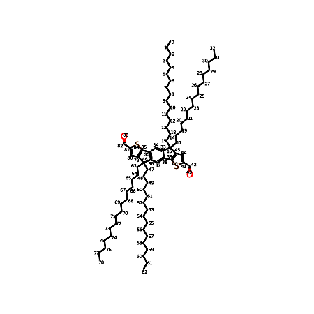 CCCCCCCCCCCCCCCCC1(CCCCCCCCCCCCCCCC)c2cc3c(cc2-c2sc(C=O)cc21)C(CCCCCCCCCCCCCCCC)(CCCCCCCCCCCCCCCC)c1cc(C=O)sc1-3